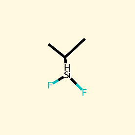 CC(C)[SiH](F)F